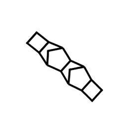 C1CC2C1C1CC2C2C3CC(C4CCC43)C12